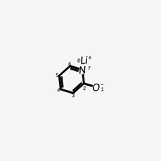 [Li+].[O-]c1ccccn1